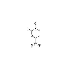 CC(OC(C)C(=O)F)C(=O)F